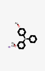 CC(=O)[O-].CC(=O)[O-].I.[Co+2].c1cc[c]([Sb]([c]2ccccc2)[c]2ccccc2)cc1